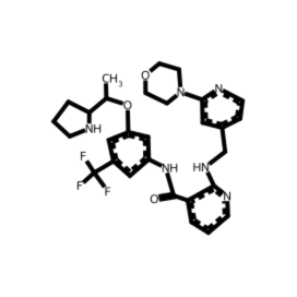 CC(Oc1cc(NC(=O)c2cccnc2NCc2ccnc(N3CCOCC3)c2)cc(C(F)(F)F)c1)C1CCCN1